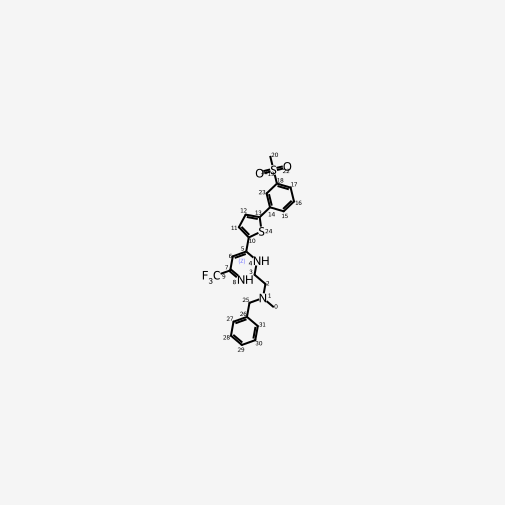 CN(CCN/C(=C\C(=N)C(F)(F)F)c1ccc(-c2cccc(S(C)(=O)=O)c2)s1)Cc1ccccc1